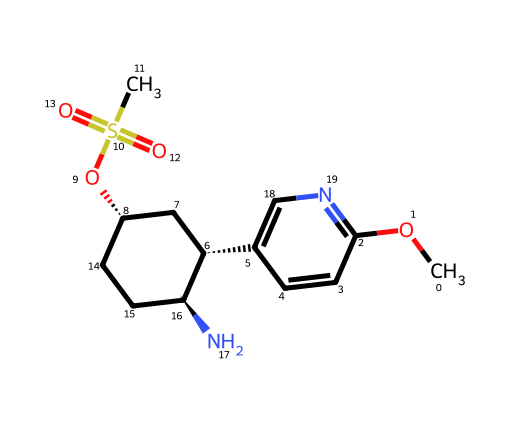 COc1ccc([C@H]2C[C@@H](OS(C)(=O)=O)CC[C@@H]2N)cn1